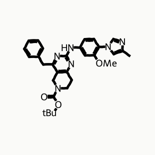 COc1cc(Nc2nc3c(c(Cc4ccccc4)n2)CN(C(=O)OC(C)(C)C)CC3)ccc1-n1cnc(C)c1